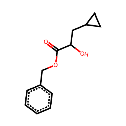 O=C(OCc1ccccc1)C(O)CC1CC1